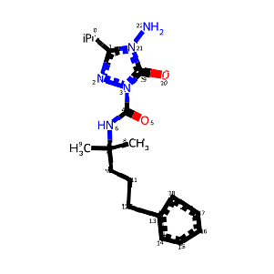 CC(C)c1nn(C(=O)NC(C)(C)CCCc2ccccc2)c(=O)n1N